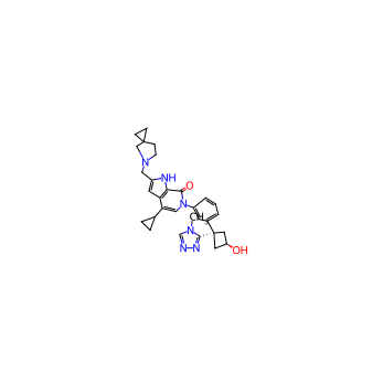 Cn1cnnc1[C@]1(c2cccc(-n3cc(C4CC4)c4cc(CN5CCC6(CC6)C5)[nH]c4c3=O)c2)C[C@@H](O)C1